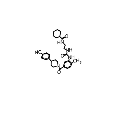 Cc1ccc(C(=O)N2CCC(c3ccc(C#N)cc3)CC2)cc1NC(=O)NCCNC(=O)C1CCCCC1